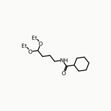 CCOC(CCCNC(=O)C1CCCCC1)OCC